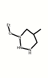 CCON1CC(C)CNN1